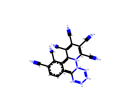 N#CC1=C(C#N)C2=c3c(C#N)c(C#N)ccc3=C3N=NN=NN3N2C(C#N)=C1C#N